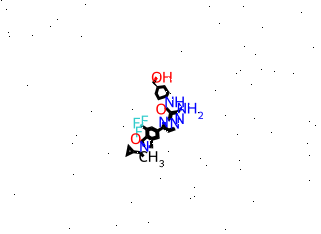 CC(C1CC1)N1Cc2cc(-c3ccn4nc(N)c(C(=O)N[C@H]5CC[C@H](CO)CC5)c4n3)cc(C(F)(F)F)c2C1=O